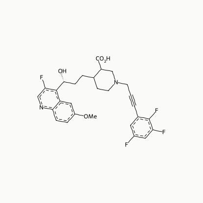 COc1ccc2ncc(F)c([C@H](O)CCC3CCN(CC#Cc4cc(F)cc(F)c4F)CC3C(=O)O)c2c1